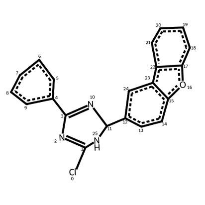 ClC1=NC(c2ccccc2)=NC(c2ccc3oc4ccccc4c3c2)N1